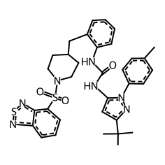 Cc1ccc(-n2nc(C(C)(C)C)cc2NC(=O)Nc2ccccc2CC2CCN(S(=O)(=O)c3cccc4nsnc34)CC2)cc1